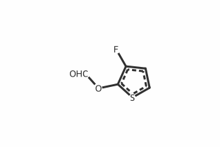 O=COc1sccc1F